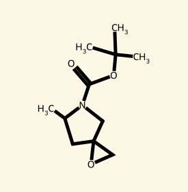 CC1CC2(CO2)CN1C(=O)OC(C)(C)C